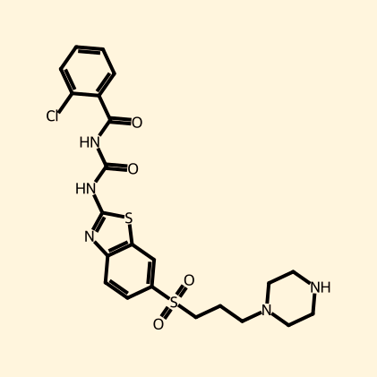 O=C(NC(=O)c1ccccc1Cl)Nc1nc2ccc(S(=O)(=O)CCCN3CCNCC3)cc2s1